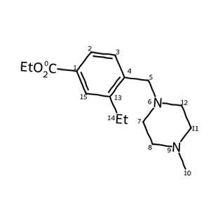 CCOC(=O)c1ccc(CN2CCN(C)CC2)c(CC)c1